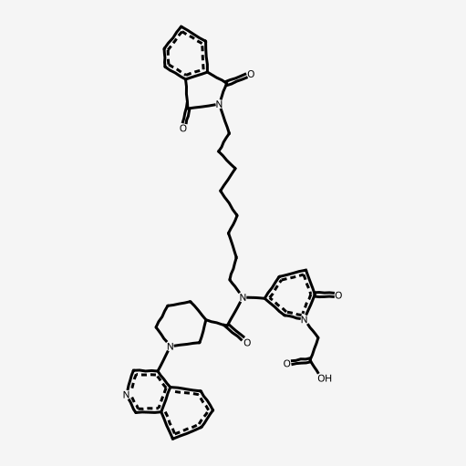 O=C(O)Cn1cc(N(CCCCCCCCN2C(=O)c3ccccc3C2=O)C(=O)C2CCCN(c3cncc4ccccc34)C2)ccc1=O